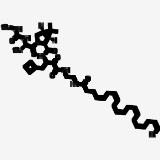 CC/C=C\C/C=C\C/C=C\C/C=C\C/C=C\C/C=C\CCC(=O)NCCNC(=O)C(=O)C(CC1CCC1)NC(=O)[C@@H]1[C@H]2[C@@H](CN1C(=O)[C@H](NC(=O)NC(C)(C)C)C(C)(C)C)C2(C)C